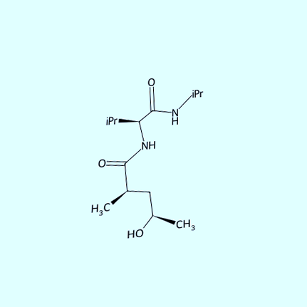 CC(C)NC(=O)[C@@H](NC(=O)[C@H](C)C[C@@H](C)O)C(C)C